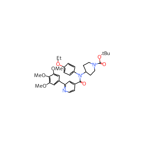 CCOc1ccc(N(C(=O)c2ccnc(-c3cc(OC)c(OC)c(OC)c3)c2)C2CCN(C(=O)OC(C)(C)C)CC2)cc1